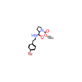 CC(C)(C)OC(=O)N1CCCC1C(=O)NCCc1ccc(Br)cc1